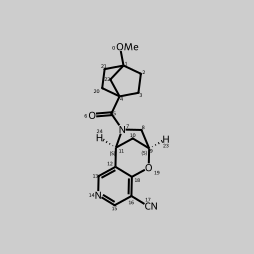 COC12CCC(C(=O)N3C[C@@H]4C[C@H]3c3cncc(C#N)c3O4)(CC1)C2